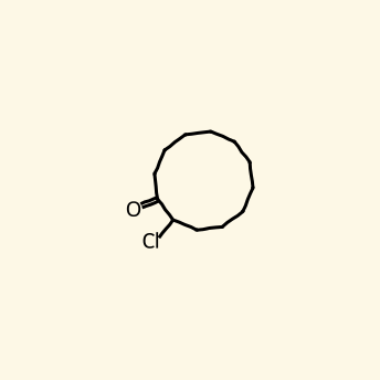 O=C1CCCCCCCCCCC1Cl